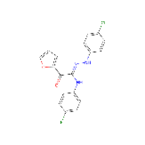 O=C(/C(=N/Nc1ccc(Cl)cc1)Nc1ccc(F)cc1)c1ccco1